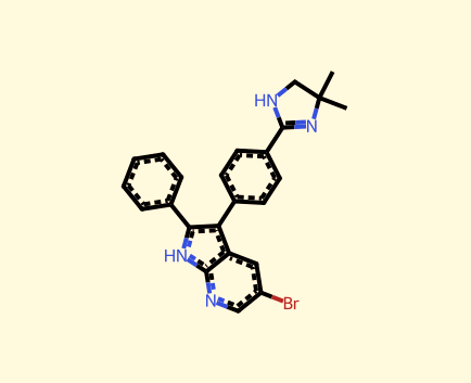 CC1(C)CNC(c2ccc(-c3c(-c4ccccc4)[nH]c4ncc(Br)cc34)cc2)=N1